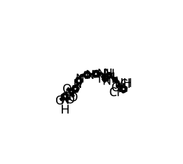 O=C1CC[C@H](N2C(=O)c3ccc(N4CCN(CC5CCN(c6ccc(Nc7ncnc8c7ncn8C7CC(NC(=O)c8c(Cl)cccc8Cl)C7)cc6)CC5)CC4)cc3C2=O)C(=O)N1